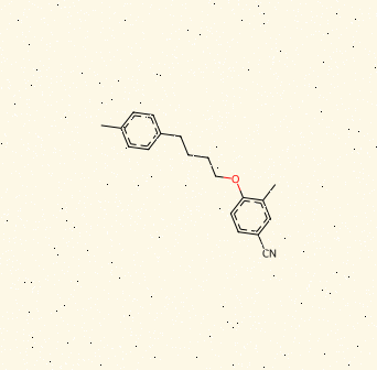 Cc1ccc(CCCCOc2ccc(C#N)cc2C)cc1